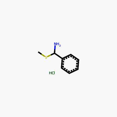 CSC(N)c1ccccc1.Cl